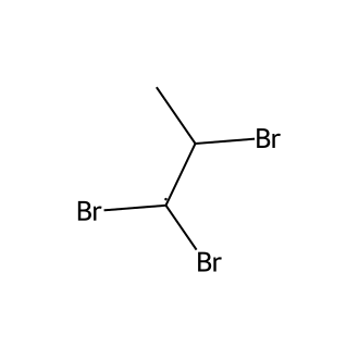 CC(Br)[C](Br)Br